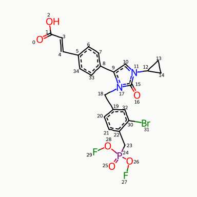 O=C(O)C=Cc1ccc(-c2cn(C3CC3)c(=O)n2Cc2ccc(CP(=O)(OF)OF)c(Br)c2)cc1